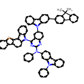 CC1(C)c2ccccc2-c2ccc(-c3ccc4c5ccccc5n(-c5ccc6nc(N(c7ccccc7)c7ccc8c9ccccc9n(-c9ccccc9)c8c7)nc(-n7c8ccccc8c8c9sc%10ccccc%10c9ccc87)c6c5)c4c3)cc21